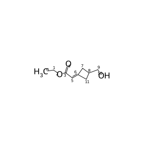 CCOC(=O)C=C1CC(CO)C1